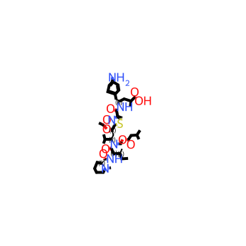 CC[C@H](C)[C@H](NC(=O)[C@H]1CCCCN1C)C(=O)N(COC(=O)CC(C)C)[C@H](C[C@@H](OC(C)=O)c1nc(C(=O)N[C@@H](Cc2ccc(N)cc2)CC(C)C(=O)O)cs1)C(C)C